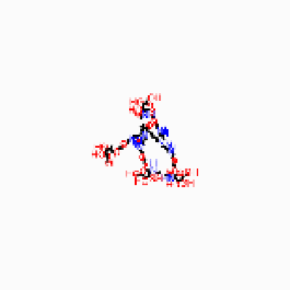 CC(=O)N[C@H]1[C@H](OCCOCCn2cc(CN(CCCC[C@H](C(=O)C(C)(C)C)N(Cc3cn(CCOCCO[C@@H]4O[C@H](CO)[C@H](O)[C@H](O)[C@H]4C)nn3)Cc3cn(CCOCCO[C@@H]4O[C@H](CO)[C@H](O)[C@H](O)[C@H]4NC(C)=O)nn3)Cc3cn(CCOCCO[C@@H]4O[C@H](CO)[C@H](O)[C@H](O)[C@H]4NC(C)=O)nn3)nn2)O[C@H](CO)[C@H](O)[C@@H]1O